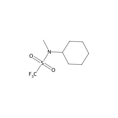 CN(C1CCCCC1)S(=O)(=O)C(F)(F)F